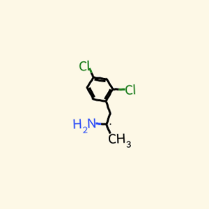 C[C](N)Cc1ccc(Cl)cc1Cl